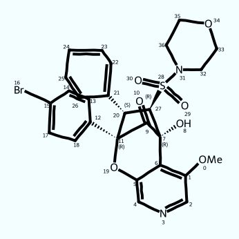 COc1cncc2c1[C@@]1(O)C(=O)[C@@](c3ccc(Br)cc3)(O2)[C@H](c2ccccc2)[C@H]1S(=O)(=O)N1CCOCC1